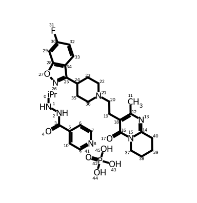 CC(C)NNC(=O)c1ccncc1.Cc1nc2n(c(=O)c1CCN1CCC(c3noc4cc(F)ccc34)CC1)CCCC2.O=P(O)(O)O